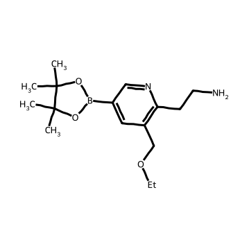 CCOCc1cc(B2OC(C)(C)C(C)(C)O2)cnc1CCN